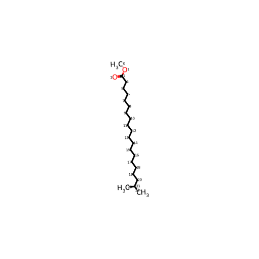 COC(=O)CCCCCCCCCCCCCCCCCC(C)C